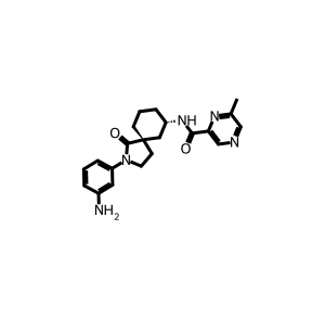 Cc1cncc(C(=O)N[C@H]2CCC[C@]3(CCN(c4cccc(N)c4)C3=O)C2)n1